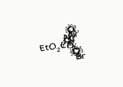 CCOC(=O)c1cnc(N2CCc3ccccc32)nc1OCc1ccc(Br)cc1